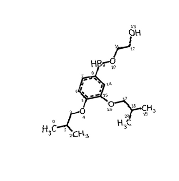 CC(C)COc1ccc(BOCCO)cc1OCC(C)C